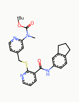 CN(C(=O)OC(C)(C)C)c1cc(CSc2ncccc2C(=O)Nc2ccc3c(c2)CCC3)ccn1